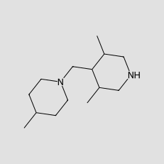 CC1CCN(CC2C(C)CNCC2C)CC1